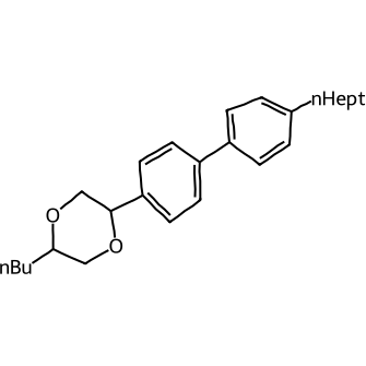 CCCCCCCc1ccc(-c2ccc(C3COC(CCCC)CO3)cc2)cc1